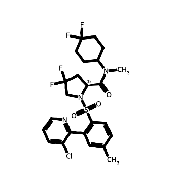 Cc1ccc(S(=O)(=O)N2CC(F)(F)C[C@H]2C(=O)N(C)C2CCC(F)(F)CC2)c(-c2ncccc2Cl)c1